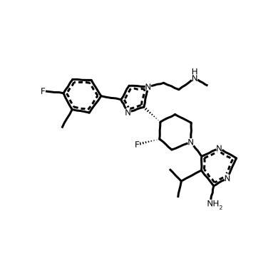 CNCCn1cc(-c2ccc(F)c(C)c2)nc1[C@@H]1CCN(c2ncnc(N)c2C(C)C)C[C@@H]1F